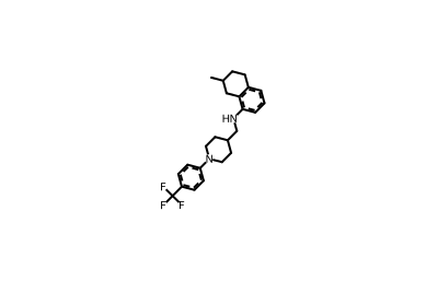 CC1CCc2cccc(NCC3CCN(c4ccc(C(F)(F)F)cc4)CC3)c2C1